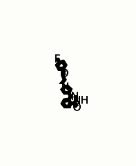 O=c1[nH]nc(C2CCN(CCCOc3ccc(F)cc3)CC2)c2ccccc12